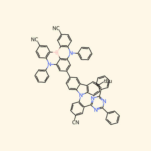 CC(C)(C)c1ccc2c(c1)c1cc(-c3cc4c5c(c3)N(c3ccccc3)c3ccc(C#N)cc3B5c3cc(C#N)ccc3N4c3ccccc3)ccc1n2-c1ccc(C#N)cc1-c1nc(-c2ccccc2)nc(-c2ccccc2)n1